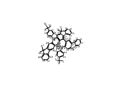 CC(C)(C)c1ccc(Nc2cc3sc4ccccc4c3cc2-c2c3c(c4c5cc(C(C)(C)C)ccc5n5c4c2Bc2cc4c(cc2-5)C(C)(C)c2ccccc2-4)C(C)(C)c2ccccc2-3)cc1